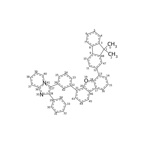 CC1(C)c2ccccc2-c2ccc(-c3cccc4c3oc3c(-c5cccc(-c6c(-c7ccccc7)nc7ccccn67)c5)cccc34)cc21